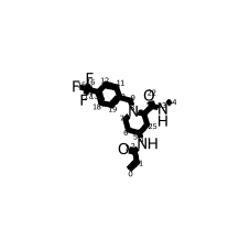 C=CC(=O)NC1CCN(Cc2ccc(C(F)(F)F)cc2)C(C(=O)NC)C1